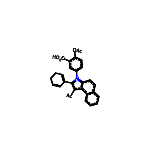 CC(=O)Oc1ccc(-n2c(C3=CCCC=C3)c(C(C)=O)c3c4ccccc4ccc32)cc1C(=O)O